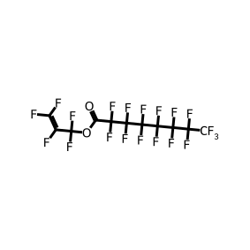 O=C(OC(F)(F)C(F)=C(F)F)C(F)(F)C(F)(F)C(F)(F)C(F)(F)C(F)(F)C(F)(F)C(F)(F)F